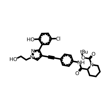 CC(C)(C)OC(=O)N1CCCCC1C(=O)Nc1ccc(C#Cc2cn(CCO)nc2-c2cc(Cl)ccc2O)cc1